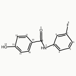 O=C(Nc1cccc(F)c1)c1ccc(O)cc1